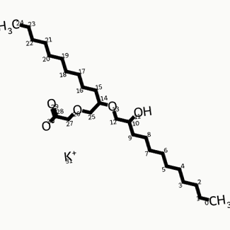 CCCCCCCCCCC(O)COC(CCCCCCCCCC)COCC(=O)[O-].[K+]